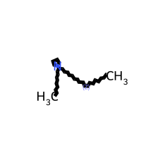 CCCCCCCC/C=C\CCCCCCCCCC(CCCCCCCCC)N1CCCC1